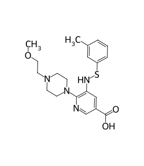 COCCN1CCN(c2ncc(C(=O)O)cc2NSc2cccc(C)c2)CC1